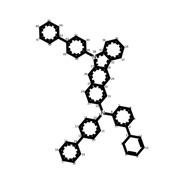 C1=CCC(c2cccc(N(c3ccc(-c4ccccc4)cc3)c3ccc4cc5c(cc4c3)c3ccccc3n5-c3ccc(-c4ccccc4)cc3)c2)C=C1